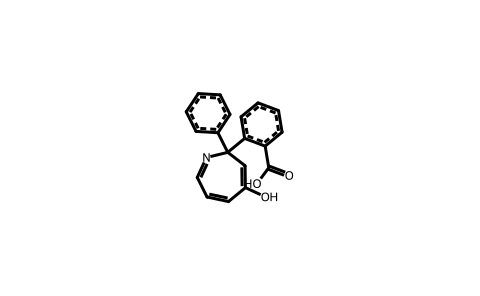 O=C(O)c1ccccc1C1(c2ccccc2)C=C(O)C=CC=N1